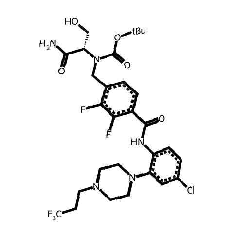 CC(C)(C)OC(=O)N(Cc1ccc(C(=O)Nc2ccc(Cl)cc2N2CCN(CCC(F)(F)F)CC2)c(F)c1F)[C@@H](CO)C(N)=O